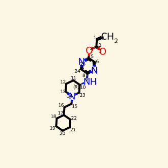 C=CC(=O)Oc1cnc(N[C@@H]2CCCN(CCC3CCCCC3)C2)cn1